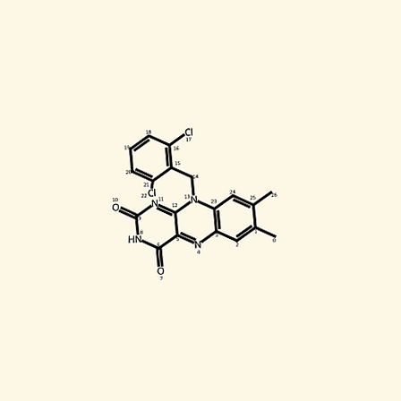 Cc1cc2nc3c(=O)[nH]c(=O)nc-3n(Cc3c(Cl)cccc3Cl)c2cc1C